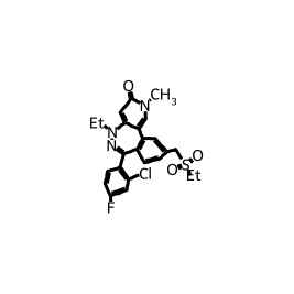 CCN1N=C(c2ccc(F)cc2Cl)c2ccc(CS(=O)(=O)CC)cc2-c2cn(C)c(=O)cc21